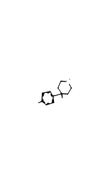 O=C(O)N1CCC(c2ccc(C(F)(F)F)cc2)(C(F)(F)F)CC1